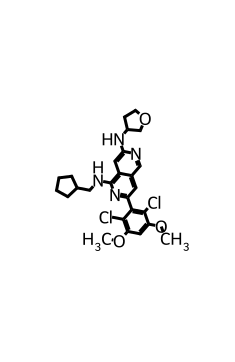 COc1cc(OC)c(Cl)c(-c2cc3cnc(NC4CCOC4)cc3c(NCC3CCCC3)n2)c1Cl